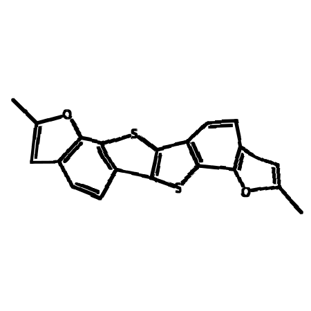 Cc1cc2ccc3c(sc4c5ccc6cc(C)oc6c5sc34)c2o1